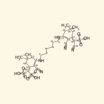 CC1(C)CC(NCCCCCCNC2=C(C#N)/C(=C(\C#N)S(=O)(=O)O)CC(C)(C)C2)=C(C#N)C(=C(S(=O)(=O)O)S(=O)(=O)O)C1